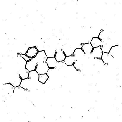 CC[C@H](C)[C@H](N)C(=O)N[C@@H](CC(N)=O)C(=O)N1CCC[C@H]1C(=O)N[C@@H](Cc1ccc(O)cc1)C(=O)N[C@@H](CC(N)=O)C(=O)NCC(=O)N[C@@H](CC(=O)O)C(=O)N[C@H](C(=O)O)[C@@H](C)CC